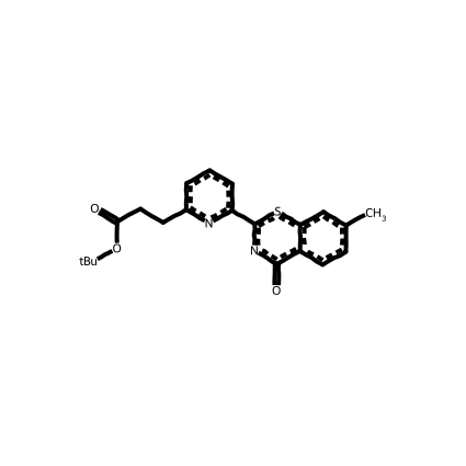 Cc1ccc2c(=O)nc(-c3cccc(CCC(=O)OC(C)(C)C)n3)sc2c1